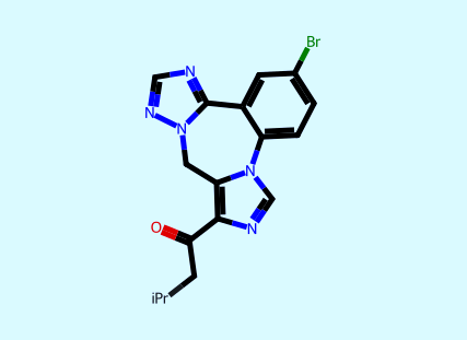 CC(C)CC(=O)c1ncn2c1Cn1ncnc1-c1cc(Br)ccc1-2